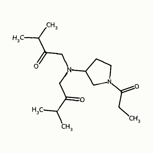 CCC(=O)N1CCC(N(CC(=O)C(C)C)CC(=O)C(C)C)C1